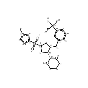 Cn1cnc(S(=O)(=O)N2C[C@@H](Cc3cccc(C(F)(F)F)c3)[C@H](C3OCCCO3)C2)c1